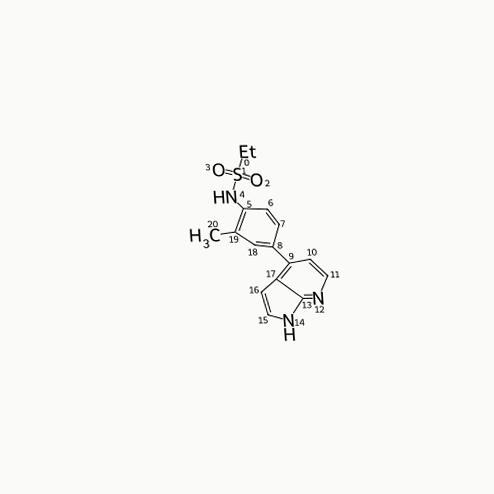 CCS(=O)(=O)Nc1ccc(-c2ccnc3[nH]ccc23)cc1C